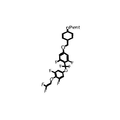 CCCCCC1CCC(COc2cc(F)c(C(F)(F)Oc3cc(F)c(OC=C(F)F)c(F)c3)c(F)c2)CC1